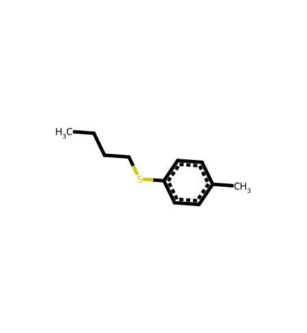 CCCCSc1ccc(C)cc1